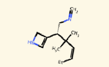 C=NC[C@@H](C1=CNC1)C(C)(C)/C=C\CC